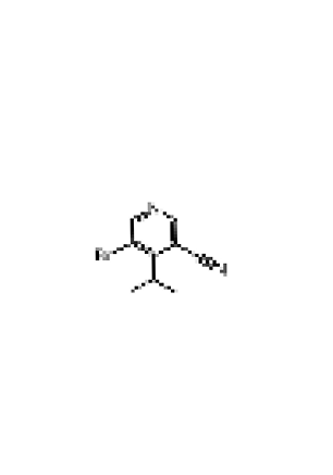 CC(C)c1c(Br)cncc1C#N